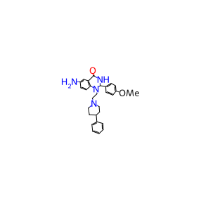 COc1ccc(C2NC(=O)c3cc(N)ccc3N2CCN2CCC(c3ccccc3)CC2)cc1